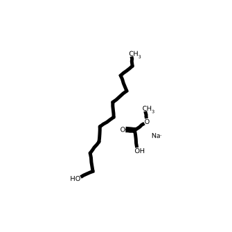 CCCCCCCCCCO.COC(=O)O.[Na]